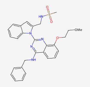 COCCOc1cccc2c(NCc3ccccc3)nc(-n3c(CNS(C)(=O)=O)cc4ccccc43)nc12